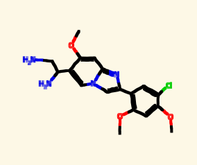 COc1cc(OC)c(-c2cn3cc(C(N)CN)c(OC)cc3n2)cc1Cl